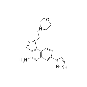 Nc1nc2cc(-c3cc[nH]n3)ccc2c2c1cnn2CCN1CCOCC1